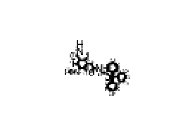 CNC(=O)c1c(I)c(CC(=O)NCCOC(c2ccccc2)(c2ccccc2)c2ccccc2)c(I)c(N=C=O)c1I